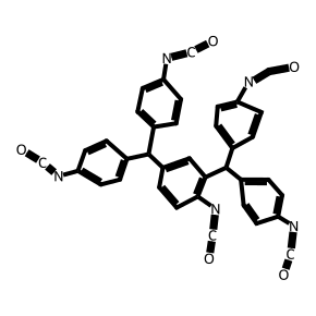 O=C=Nc1ccc(C(c2ccc(N=C=O)cc2)c2ccc(N=C=O)c(C(c3ccc(N=C=O)cc3)c3ccc(N=C=O)cc3)c2)cc1